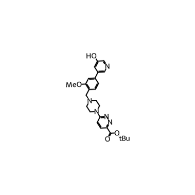 COc1cc(-c2cncc(O)c2)ccc1CN1CCN(c2ccc(C(=O)OC(C)(C)C)nn2)CC1